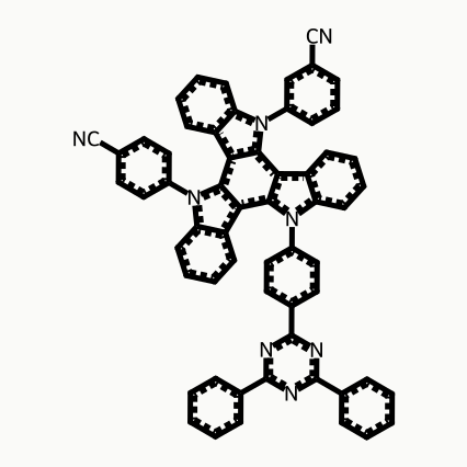 N#Cc1ccc(-n2c3ccccc3c3c2c2c4ccccc4n(-c4cccc(C#N)c4)c2c2c4ccccc4n(-c4ccc(-c5nc(-c6ccccc6)nc(-c6ccccc6)n5)cc4)c32)cc1